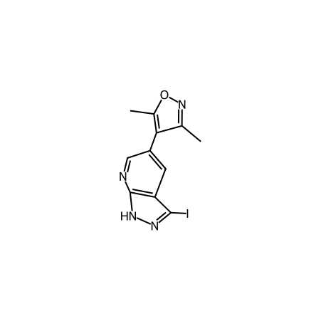 Cc1noc(C)c1-c1cnc2[nH]nc(I)c2c1